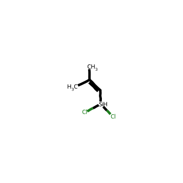 CC(C)=C[SiH](Cl)Cl